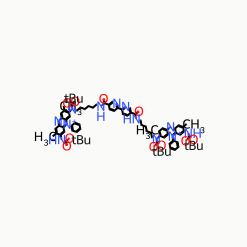 Cc1cc2nc3cc(C)c(N(CCCCCCNC(=O)c4ccc(-c5ccc(C(=O)NCCCCCCN(C(=O)OC(C)(C)C)c6cc7c(cc6C)nc6cc(C)c(NC(=O)OC(C)(C)C)cc6[n+]7-c6ccccc6)cn5)nc4)C(=O)OC(C)(C)C)cc3[n+](-c3ccccc3)c2cc1NC(=O)OC(C)(C)C